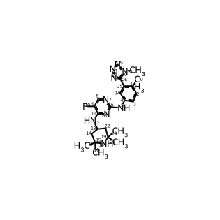 Cc1ccc(Nc2ncc(F)c(NC3CC(C)(C)NC(C)(C)C3)n2)cc1-c1nnnn1C